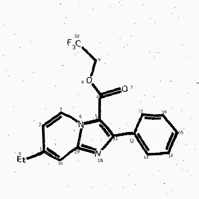 CCc1ccn2c(C(=O)OCC(F)(F)F)c(-c3ccccc3)nc2c1